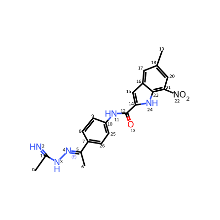 CC(=N)N/N=C(\C)c1ccc(NC(=O)c2cc3cc(C)cc([N+](=O)[O-])c3[nH]2)cc1